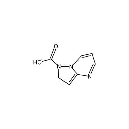 O=C(O)N1CC=C2N=CC=CN21